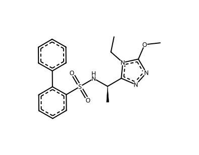 CCn1c(OC)nnc1[C@@H](C)NS(=O)(=O)c1ccccc1-c1ccccc1